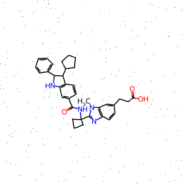 Cn1c(C2(NC(=O)c3ccc4c(c3)NC(c3ccccc3)C4C3CCCC3)CCC2)nc2ccc(CCC(=O)O)cc21